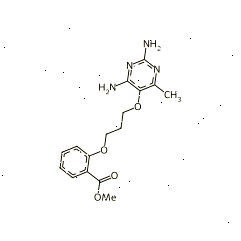 COC(=O)c1ccccc1OCCCOc1c(C)nc(N)nc1N